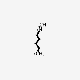 C#[N+]CCCCC